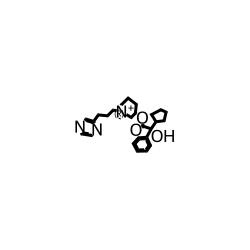 C[N@@+]1(CCCc2cnccn2)CCCC(OC(=O)C(O)(c2ccccc2)C2CCCC2)C1